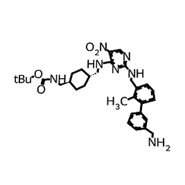 Cc1c(CNc2ncc([N+](=O)[O-])c(NC[C@H]3CC[C@H](CNC(=O)OC(C)(C)C)CC3)n2)cccc1-c1cccc(CN)c1